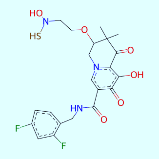 CC1(C)C(=O)c2c(O)c(=O)c(C(=O)NCc3ccc(F)cc3F)cn2CC1OCCN(O)S